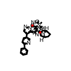 CS(=O)(=O)c1c([C@@H]2C[C@H]3CC[C@@H](C2)N3c2noc(=O)[nH]2)nc2c(-c3ccc(-c4ccccc4)nc3)cnn2c1N